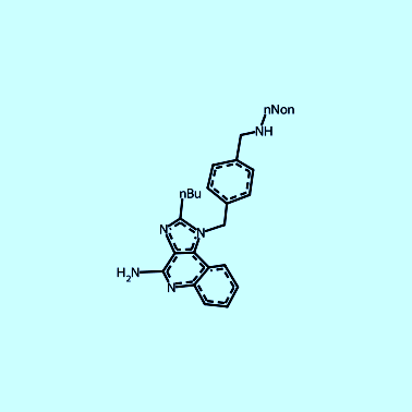 CCCCCCCCCNCc1ccc(Cn2c(CCCC)nc3c(N)nc4ccccc4c32)cc1